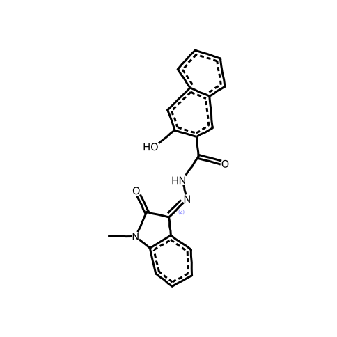 CN1C(=O)/C(=N\NC(=O)c2cc3ccccc3cc2O)c2ccccc21